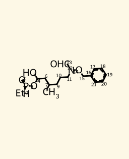 CC[PH](=O)OC(O)CC(C)CCCN(C=O)OCc1ccccc1